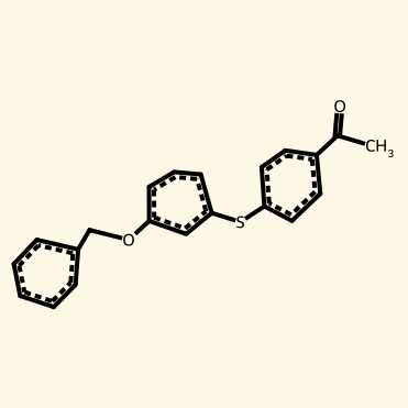 CC(=O)c1ccc(Sc2cccc(OCc3ccccc3)c2)cc1